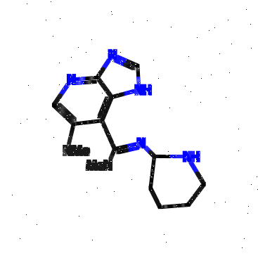 CNC(=NC1CCCCN1)c1c(NC)cnc2nc[nH]c12